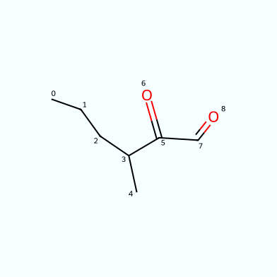 CCCC(C)C(=O)C=O